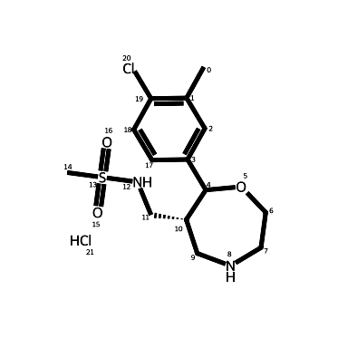 Cc1cc(C2OCCNC[C@@H]2CNS(C)(=O)=O)ccc1Cl.Cl